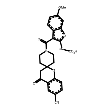 COc1ccc2c(C(=O)N3CCC4(CC3)CC(=O)c3cc(C#N)ccc3S4)c(NC(=O)O)sc2c1